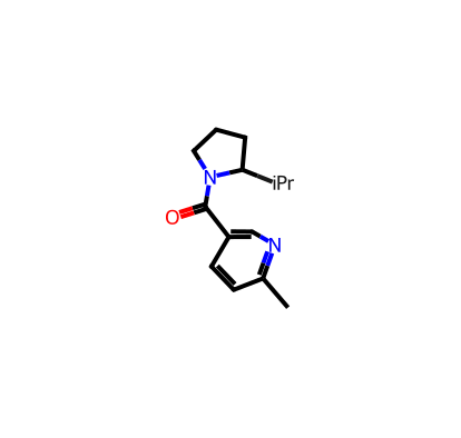 Cc1ccc(C(=O)N2CCCC2C(C)C)cn1